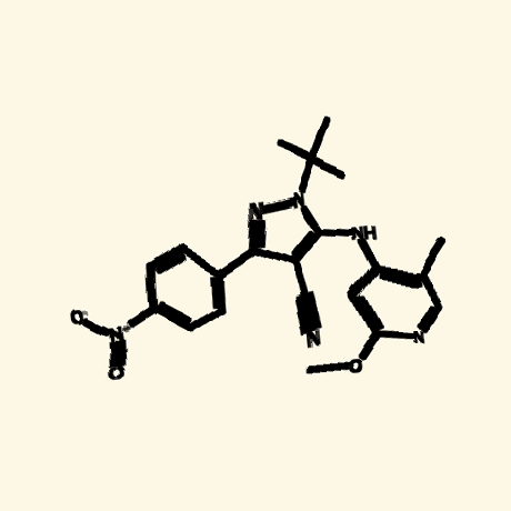 COc1cc(Nc2c(C#N)c(-c3ccc([N+](=O)[O-])cc3)nn2C(C)(C)C)c(C)cn1